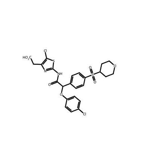 O=C(O)Cc1nc(NC(=O)C(Oc2ccc(Cl)cc2)c2ccc(S(=O)(=O)C3CCOCC3)cc2)sc1Cl